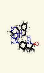 CC1(C)C(=O)Nc2cc(NC3=N[N+]4(N5CCc6ccccc65)C=CN=CC4=N3)ccc21